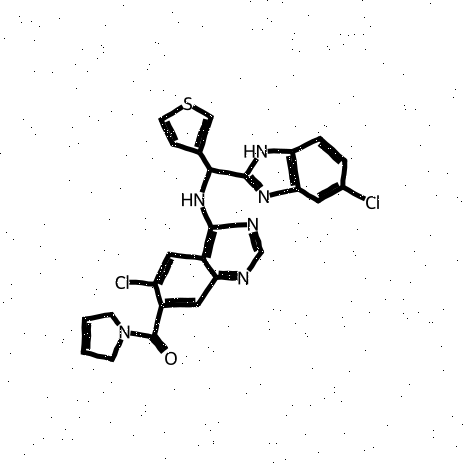 O=C(c1cc2ncnc(NC(c3ccsc3)c3nc4cc(Cl)ccc4[nH]3)c2cc1Cl)N1CC=CC1